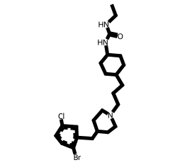 CCNC(=O)NC1CCC(CCCN2CCC(Cc3cc(Cl)ccc3Br)CC2)CC1